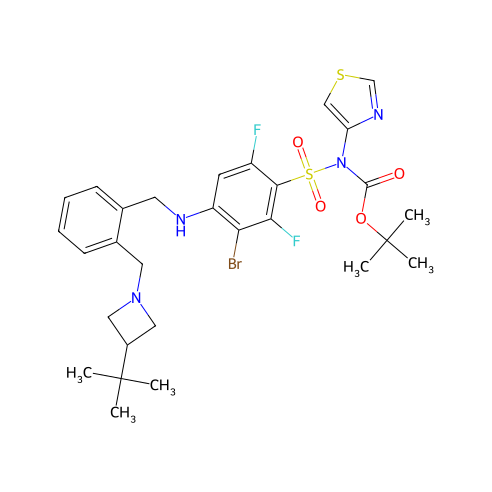 CC(C)(C)OC(=O)N(c1cscn1)S(=O)(=O)c1c(F)cc(NCc2ccccc2CN2CC(C(C)(C)C)C2)c(Br)c1F